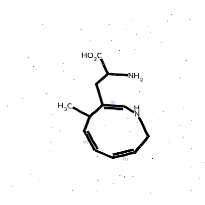 CC1/C=C\C=C/CN/C=C\1CC(N)C(=O)O